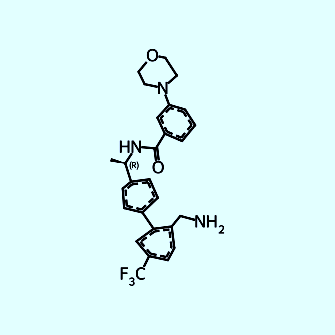 C[C@@H](NC(=O)c1cccc(N2CCOCC2)c1)c1ccc(-c2cc(C(F)(F)F)ccc2CN)cc1